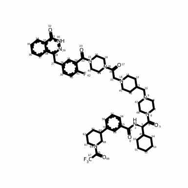 O=C(N[C@@H](C(=O)N1CCN(CC2CCN(CC(=O)N3CCN(C(=O)c4cc(Cc5n[nH]c(=O)c6ccccc56)ccc4F)CC3)CC2)CC1)C1CCCCC1)c1cccc(C2CCCN(C(=O)C(F)(F)F)C2)c1